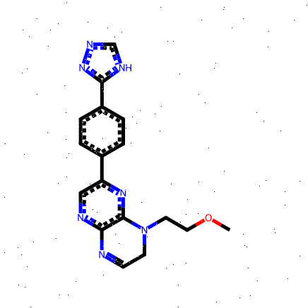 COCCN1CC=Nc2ncc(-c3ccc(-c4nnc[nH]4)cc3)nc21